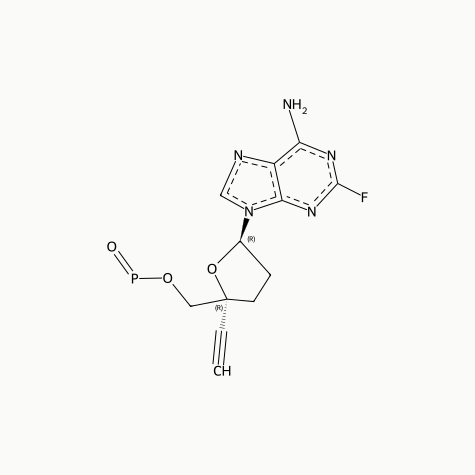 C#C[C@@]1(COP=O)CC[C@H](n2cnc3c(N)nc(F)nc32)O1